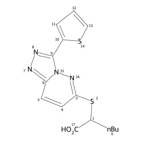 CCCCC(Sc1ccc2nnc(-c3cccs3)n2n1)C(=O)O